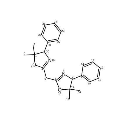 CC1(C)OC(CC2=NC(c3ccccc3)C(C)(C)O2)=NC1c1ccccc1